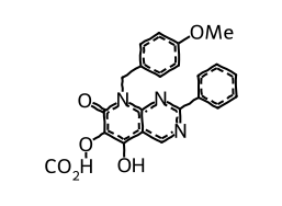 COc1ccc(Cn2c(=O)c(OC(=O)O)c(O)c3cnc(-c4ccccc4)nc32)cc1